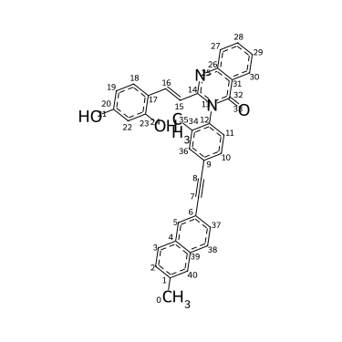 Cc1ccc2cc(C#Cc3ccc(-n4c(/C=C/c5ccc(O)cc5O)nc5ccccc5c4=O)c(C)c3)ccc2c1